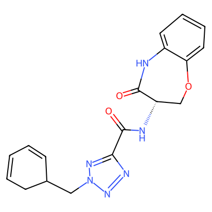 O=C(N[C@H]1COc2ccccc2NC1=O)c1nnn(CC2C=CC=CC2)n1